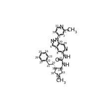 Cc1cc(-n2ncc3cc(NC(=O)N[C@H]4CN(C)C[C@@H]4CCc4ccccc4)ncc32)ccn1